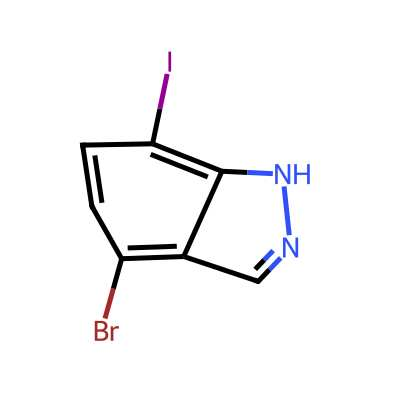 Brc1ccc(I)c2[nH]ncc12